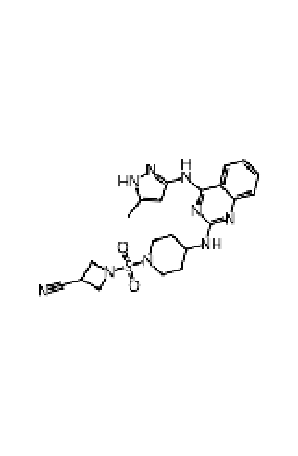 Cc1cc(Nc2nc(NC3CCN(S(=O)(=O)N4CC(C#N)C4)CC3)nc3ccccc23)n[nH]1